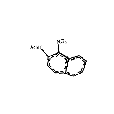 CC(=O)Nc1ccc2ccccc2c1[N+](=O)[O-]